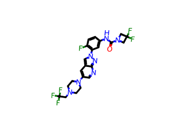 O=C(Nc1ccc(F)c(-n2cc3cc(N4CCN(CC(F)(F)F)CC4)cnc3n2)c1)N1CC(F)(F)C1